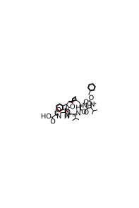 CC(C)C(C(=O)N[C@H]1Cc2ccc3c(c2)C2(c4ccccc4NC2O3)c2oc(nc2-c2nc(C(=O)O)co2)[C@H](C(C)C)NC1=O)N(C)C(=O)OCc1ccccc1